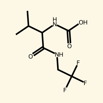 CC(C)C(NC(=O)O)C(=O)NCC(F)(F)F